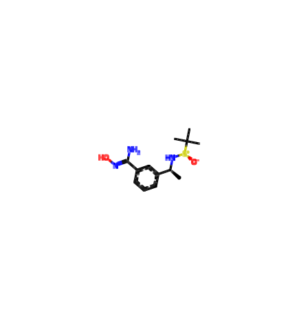 C[C@H](N[S@+]([O-])C(C)(C)C)c1cccc(C(N)=NO)c1